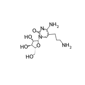 NCCCc1cn([C@@H]2O[C@H](CO)[C@@H](O)[C@H]2O)c(=O)nc1N